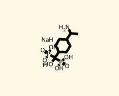 CC(N)C1CCC(C(O)(P(=O)(O)O)P(=O)(O)O)CC1.[NaH]